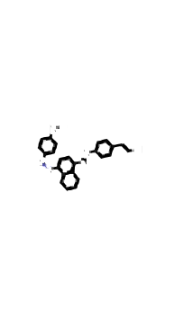 CC=Cc1ccc(N=Nc2ccc(/N=N\c3ccc(NCC)cc3)c3ccccc23)cc1